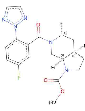 C[C@@H]1C[C@H]2CCN(C(=O)OC(C)(C)C)[C@H]2CN1C(=O)c1cc(F)ccc1-n1nccn1